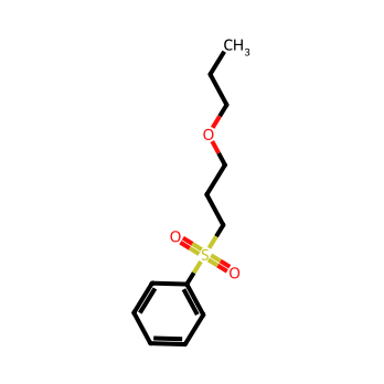 CCCOCCCS(=O)(=O)c1ccccc1